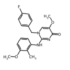 COc1cccc(Nc2nc(=O)c(OC)cn2Cc2ccc(F)cc2)c1C